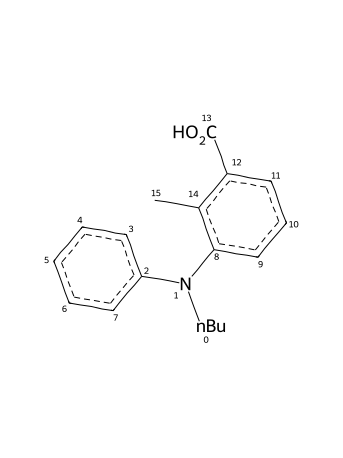 CCCCN(c1ccccc1)c1cccc(C(=O)O)c1C